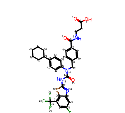 O=C(O)CCNC(=O)c1ccc(CN(C(=O)Nc2nc3cc(F)cc(C(F)(F)F)c3s2)c2ccc(C3CCCCC3)cc2)cc1